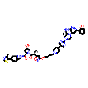 Cc1ncsc1-c1ccc(CNC(=O)[C@@H]2C[C@@H](O)CN2C(=O)[C@@H](c2cc(OCCCCN3CCC(c4cnc(N5CCN6c7cc(-c8ccccc8O)nnc7NC[C@H]6C5)nc4)CC3)no2)C(C)C)cc1